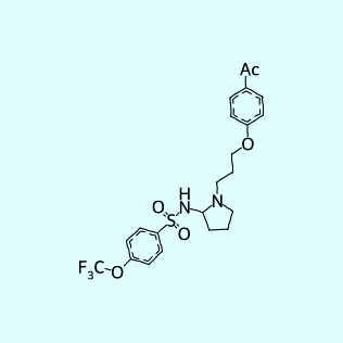 CC(=O)c1ccc(OCCCN2CCCC2NS(=O)(=O)c2ccc(OC(F)(F)F)cc2)cc1